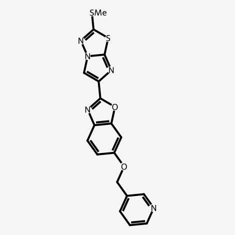 CSc1nn2cc(-c3nc4ccc(OCc5cccnc5)cc4o3)nc2s1